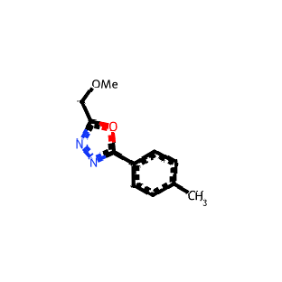 CO[CH]c1nnc(-c2ccc(C)cc2)o1